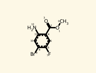 COC(=O)c1cc(F)c(Br)cc1N